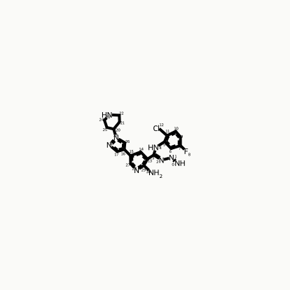 N=N/N=C(\Nc1cc(F)ccc1Cl)c1cc(-c2cnn(C3CCNCC3)c2)cnc1N